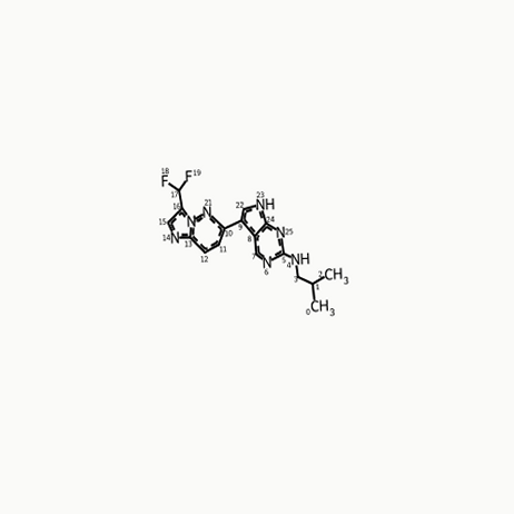 CC(C)CNc1ncc2c(-c3ccc4ncc(C(F)F)n4n3)c[nH]c2n1